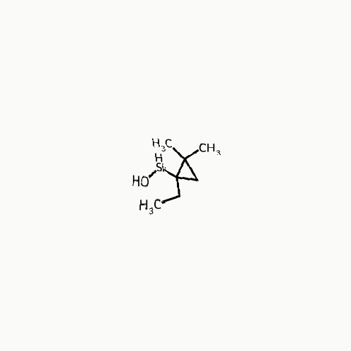 CCC1([SiH]O)CC1(C)C